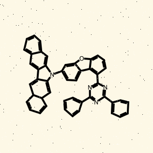 C1=CC2C=c3c(n(-c4ccc5c(c4)oc4cccc(-c6nc(-c7ccccc7)nc(-c7ccccc7)n6)c45)c4cc5ccccc5cc34)=CC2C=C1